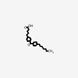 CCCCCCCc1ccc(C(=O)c2ccc(CCCCC(=O)O)cc2)cc1